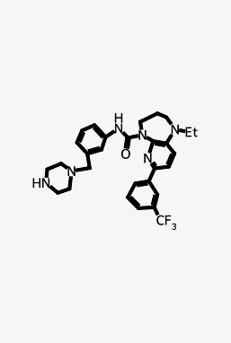 CCN1CCCN(C(=O)Nc2cccc(CN3CCNCC3)c2)c2nc(-c3cccc(C(F)(F)F)c3)ccc21